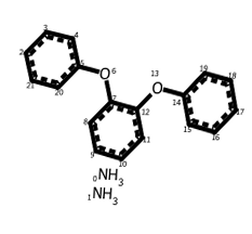 N.N.c1ccc(Oc2ccccc2Oc2ccccc2)cc1